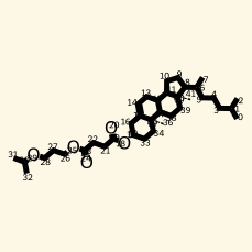 CC(C)CCCC(C)C1CCC2C3CC=C4C[C@@H](OC(=O)CCC(=O)OCCCOC(C)C)CC[C@]4(C)C3CC[C@]12C